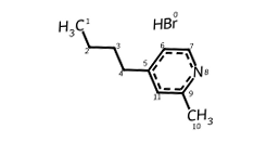 Br.CCCCc1ccnc(C)c1